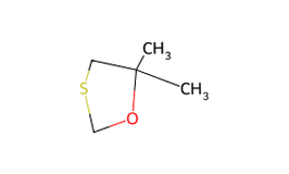 CC1(C)CSCO1